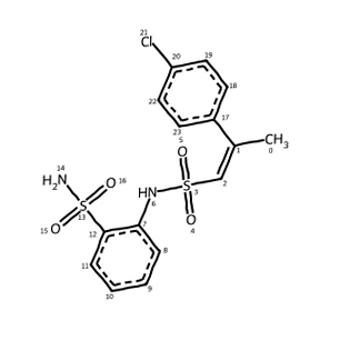 C/C(=C/S(=O)(=O)Nc1ccccc1S(N)(=O)=O)c1ccc(Cl)cc1